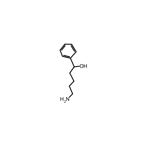 NCCCC[C](O)c1ccccc1